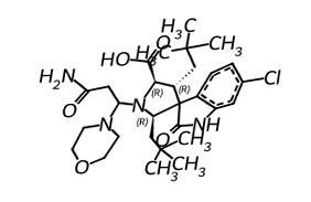 CC(C)(C)C[C@H]1[C@H](C(=O)O)N(C(CC(N)=O)N2CCOCC2)[C@H](CC(C)(C)C)C12C(=O)Nc1cc(Cl)ccc12